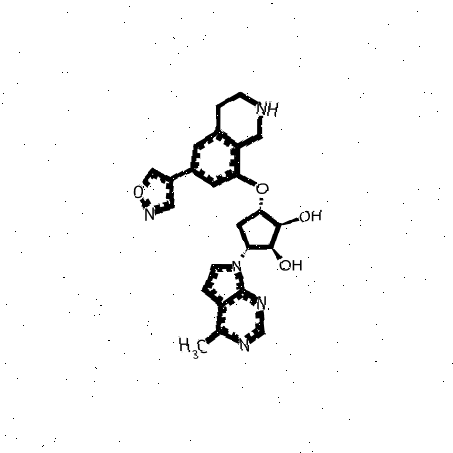 Cc1ncnc2c1ccn2[C@@H]1C[C@H](Oc2cc(-c3cnoc3)cc3c2CNCC3)[C@@H](O)[C@H]1O